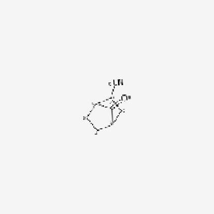 N#CC1CC2CCC1C2=O